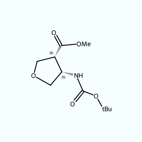 COC(=O)[C@H]1COC[C@H]1NC(=O)OC(C)(C)C